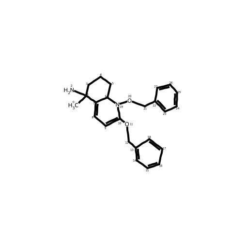 CC1(N)CCCC2C1=CC=C(OCc1ccccc1)N2OCc1ccccc1